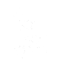 Cc1cc(C(F)(F)F)nc2c1cc(C(Cl)c1c(Cl)ncc(C(=O)OC(C)(C)C)c1Cl)n2S(=O)(=O)c1ccccc1